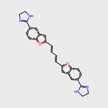 C(/C=C/c1cc2cc(C3=NCCN3)ccc2o1)=C\c1cc2cc(C3=NCCN3)ccc2o1